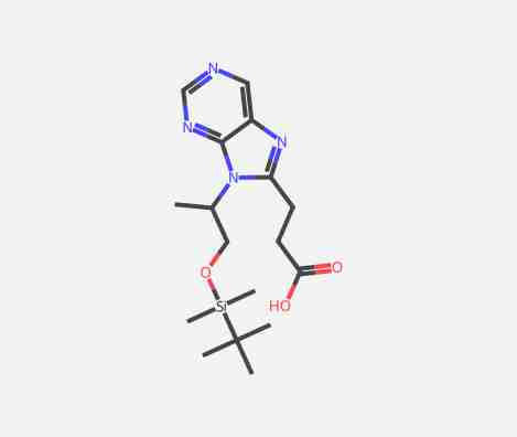 CC(CO[Si](C)(C)C(C)(C)C)n1c(CCC(=O)O)nc2cncnc21